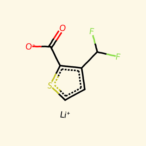 O=C([O-])c1sccc1C(F)F.[Li+]